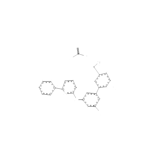 CC(=O)O.Cc1cc(Oc2cccc(-c3ccccc3)n2)cc(-c2cccc(CN)c2)c1.Cl.Cl